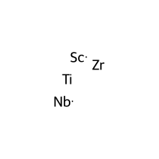 [Nb].[Sc].[Ti].[Zr]